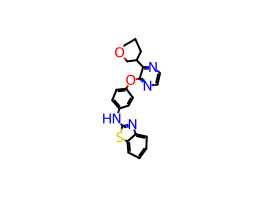 c1ccc2sc(Nc3ccc(Oc4nccnc4C4CCCOC4)cc3)nc2c1